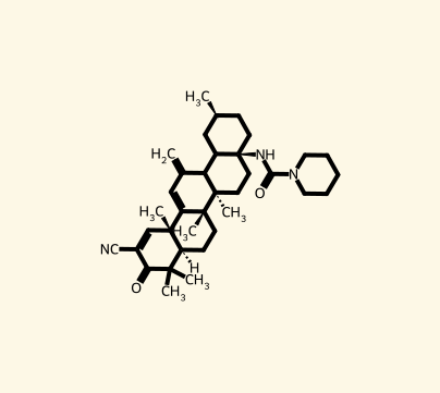 C=C1C=C2[C@@]3(C)C=C(C#N)C(=O)C(C)(C)[C@@H]3CC[C@@]2(C)[C@]2(C)CC[C@@]3(NC(=O)N4CCCCC4)CC[C@H](C)CC3C12